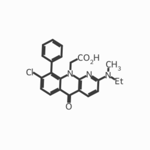 CCN(C)c1ccc2c(=O)c3ccc(Cl)c(-c4ccccc4)c3n(CC(=O)O)c2n1